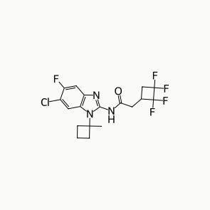 CC1(n2c(NC(=O)CC3CC(F)(F)C3(F)F)nc3cc(F)c(Cl)cc32)CCC1